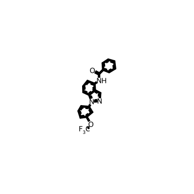 O=C(Nc1cccc2c1cnn2-c1cccc(OC(F)(F)F)c1)c1ccccc1